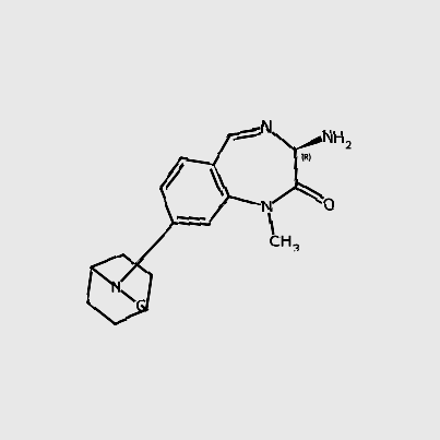 CN1C(=O)[C@H](N)N=Cc2ccc(N3CC4CCC(CC4)C3)cc21